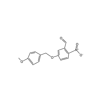 COc1ccc(COc2ccc([N+](=O)[O-])c(C=O)c2)cc1